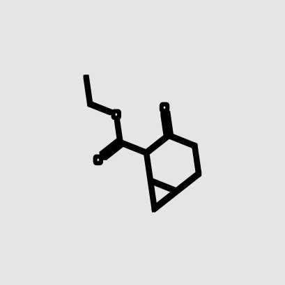 CCOC(=O)C1C(=O)CCC2CC21